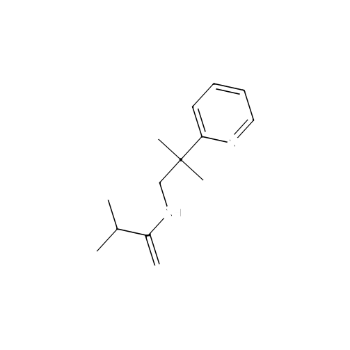 C=C(NCC(C)(C)c1ccccn1)C(C)C